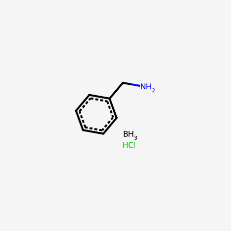 B.Cl.NCc1ccccc1